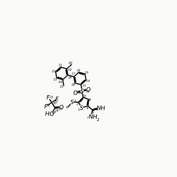 CSc1sc(C(=N)N)cc1S(=O)(=O)c1cccc(-c2c(C)cccc2C)c1.O=C(O)C(F)(F)F